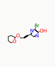 Oc1ncc(C#CCOC2CCCCO2)nc1Br